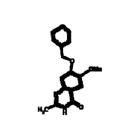 COc1cc2c(=O)[nH]c(C)nc2cc1OCc1ccccc1